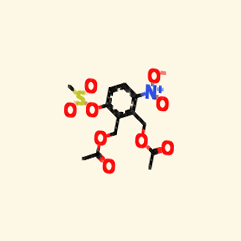 CC(=O)OCc1c(OS(C)(=O)=O)ccc([N+](=O)[O-])c1COC(C)=O